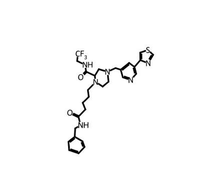 O=C(CCCCN1CCN(Cc2cncc(-c3cscn3)c2)CC1C(=O)NCC(F)(F)F)NCc1ccccc1